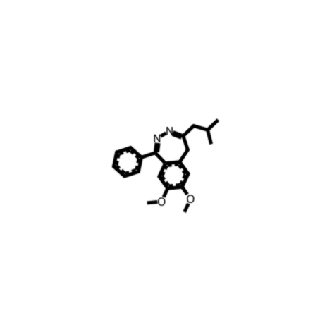 COc1cc2c(cc1OC)C(c1ccccc1)=NN=C(CC(C)C)C2